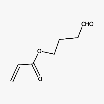 C=CC(=O)OCCCC=O